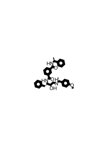 COc1ccc([C@@H](C)NC[C@@H](O)[C@H](Cc2ccccc2)NC(=O)c2cccc(C(=O)N[C@@H](C)c3ccccc3)c2)cc1